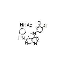 CC(=O)N[C@H]1CC[C@H](Nc2ncc3ncnc(Nc4ccc(Cl)c(Cl)c4)c3n2)CC1